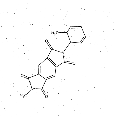 CC1C=CC=CC1n1c(=O)c2cc3c(=O)n(C)c(=O)c3cc2c1=O